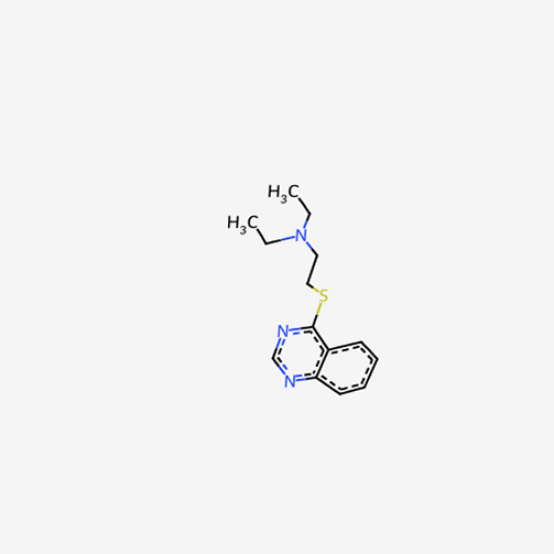 CCN(CC)CCSc1ncnc2ccccc12